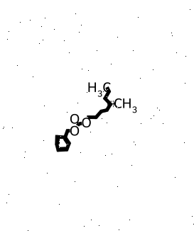 CCC[C@H](C)CCCCOC(=O)OCc1ccccc1